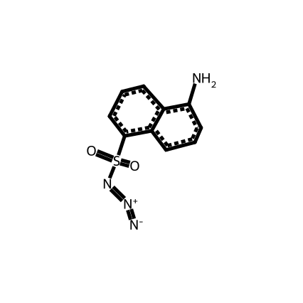 [N-]=[N+]=NS(=O)(=O)c1cccc2c(N)cccc12